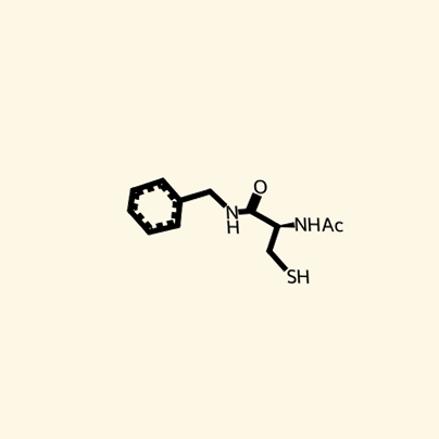 CC(=O)N[C@@H](CS)C(=O)NCc1ccccc1